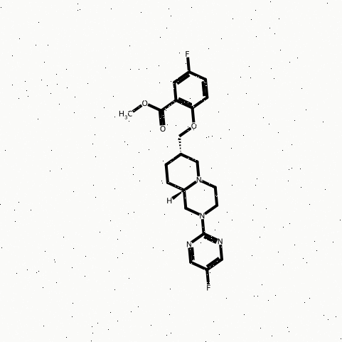 COC(=O)c1cc(F)ccc1OC[C@H]1CC[C@H]2CN(c3ncc(F)cn3)CCN2C1